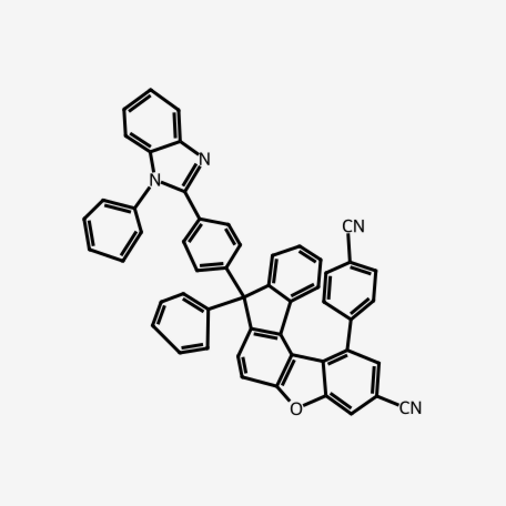 N#Cc1ccc(-c2cc(C#N)cc3oc4ccc5c(c4c23)-c2ccccc2C5(c2ccccc2)c2ccc(-c3nc4ccccc4n3-c3ccccc3)cc2)cc1